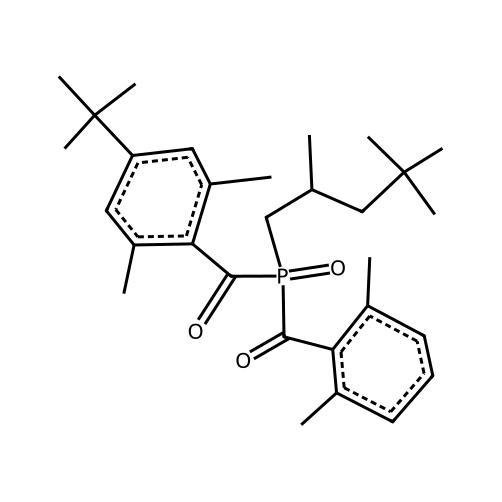 Cc1cccc(C)c1C(=O)P(=O)(CC(C)CC(C)(C)C)C(=O)c1c(C)cc(C(C)(C)C)cc1C